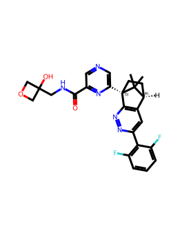 CC1(C)[C@H]2CC[C@]1(c1cncc(C(=O)NCC3(O)COC3)n1)c1nnc(-c3c(F)cccc3F)cc12